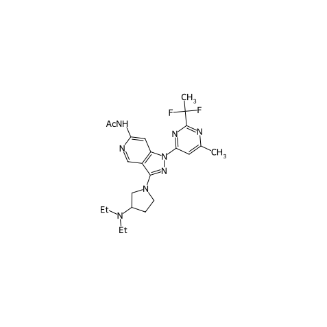 CCN(CC)C1CCN(c2nn(-c3cc(C)nc(C(C)(F)F)n3)c3cc(NC(C)=O)ncc23)C1